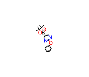 CC1(C)OB(c2cnc(Oc3ccccc3)nc2)OC1(C)C